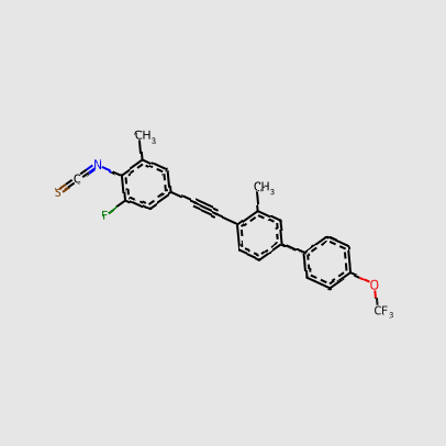 Cc1cc(-c2ccc(OC(F)(F)F)cc2)ccc1C#Cc1cc(C)c(N=C=S)c(F)c1